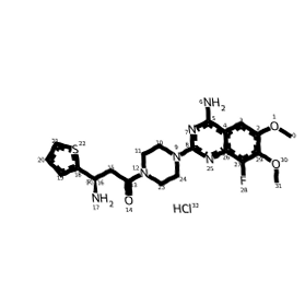 COc1cc2c(N)nc(N3CCN(C(=O)C[C@@H](N)c4cccs4)CC3)nc2c(F)c1OC.Cl